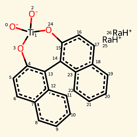 [O-][Ti]1([O-])[O]c2ccc3ccccc3c2-c2c(ccc3ccccc23)[O]1.[RaH+].[RaH+]